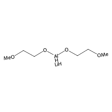 COCC[O][AlH][O]CCOC.[LiH]